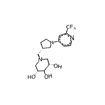 OC1[C@H](O)CN(C[C@@H]2CCN(c3ccnc(C(F)(F)F)c3)C2)C[C@@H]1O